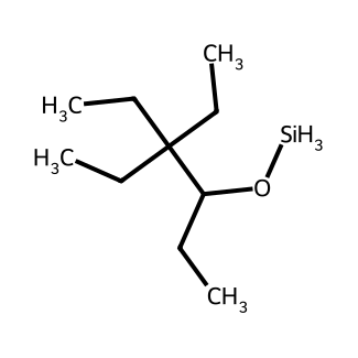 CCC(O[SiH3])C(CC)(CC)CC